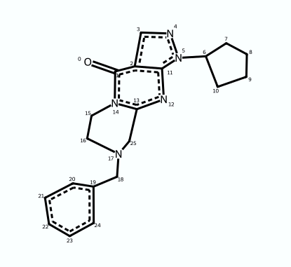 O=c1c2cnn(C3CCCC3)c2nc2n1CCN(Cc1ccccc1)C2